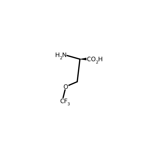 N[C@H](COC(F)(F)F)C(=O)O